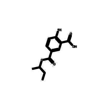 CCC(C)OC(=O)c1ccc(S)c(C(=O)O)c1